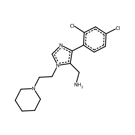 NCc1c(-c2ccc(Cl)cc2Cl)ncn1CCN1CCCCC1